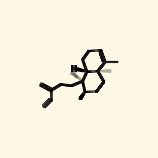 C=CC(=C)CC[C@]1(C)[C@H](C)CC[C@]2(C)C(C)=CCC[C@@H]12